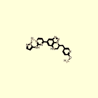 COc1ccc(CC2CNc3cc(-c4ccnc(Nc5ccnn5C)n4)cc4nnn2c34)cn1